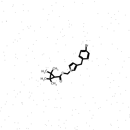 CC1(C)C(C(=O)OCn2ccc(Cc3ccc(Br)cc3)c2)C1(C)C